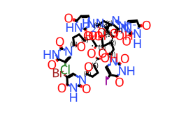 [N-]=[N+]=N[C@H]1C[C@H](n2ccc(=O)[nH]c2=O)O[C@@H]1C(O)[C@H]1C[C@H](n2cc(I)c(=O)[nH]c2=O)O[C@@]1([C](OC(O)[C@@H]1CC[C@H](n2cc(Br)c(=O)[nH]c2=O)O1)C(O)[C@@H]1CC[C@H](n2cc(Cl)c(=O)[nH]c2=O)O1)C(O)[C@H]1O[C@@H](n2ccc(=O)[nH]c2=O)C[C@@H]1N